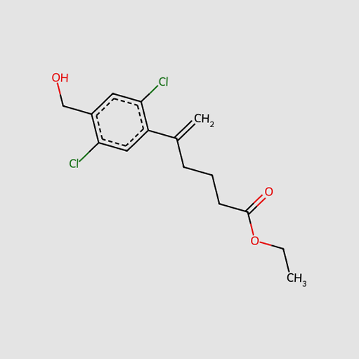 C=C(CCCC(=O)OCC)c1cc(Cl)c(CO)cc1Cl